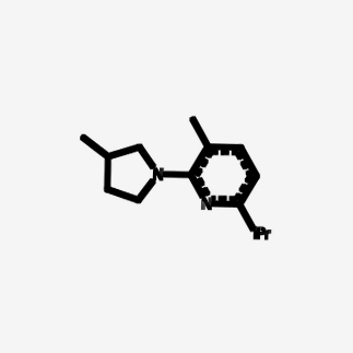 Cc1ccc(C(C)C)nc1N1CCC(C)C1